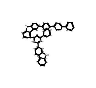 c1ccc(-c2ccc(-c3ccc(-c4ccc5sc6cccc(-c7cc(-c8ccccc8)nc(-c8ccc9c(c8)oc8ccccc89)n7)c6c5c4)cc3)cc2)cc1